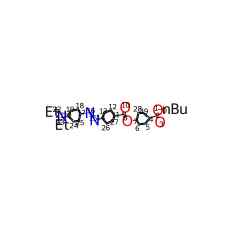 CCCCOC(=O)c1ccc(OC(=O)c2ccc(N=Nc3ccc(N(CC)CC)cc3)cc2)cc1